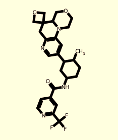 CC1CCC(NC(=O)c2ccnc(C(F)(F)F)c2)CC1c1cnc2c(c1)N1CCOCC1C1(COC1)C2